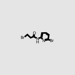 O=C(CCBr)Nc1cccc(Br)n1